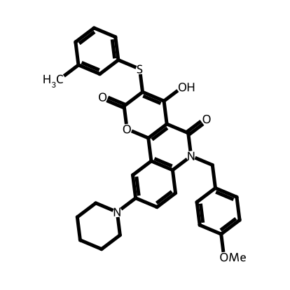 COc1ccc(Cn2c(=O)c3c(O)c(Sc4cccc(C)c4)c(=O)oc3c3cc(N4CCCCC4)ccc32)cc1